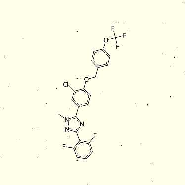 Cn1nc(-c2c(F)cccc2F)nc1-c1ccc(OCc2ccc(OC(F)(F)F)cc2)c(Cl)c1